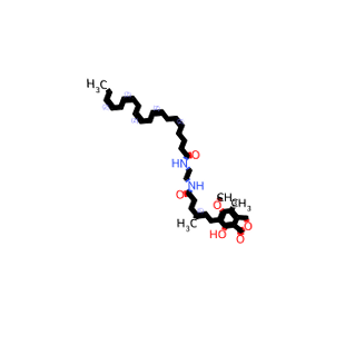 CC/C=C\C/C=C\C/C=C\C/C=C\C/C=C\CCCC(=O)NCCNC(=O)CC/C(C)=C/Cc1c(O)c2c(c(C)c1OC)COC2=O